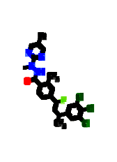 CCc1cnc(N(C)NC(=O)c2ccc(C(F)=CC(c3cc(Cl)c(Cl)c(Cl)c3)C(F)(F)F)cc2C(F)(F)F)nc1